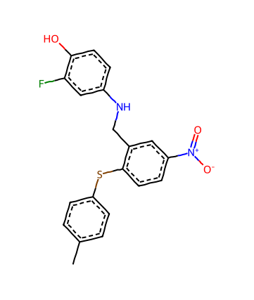 Cc1ccc(Sc2ccc([N+](=O)[O-])cc2CNc2ccc(O)c(F)c2)cc1